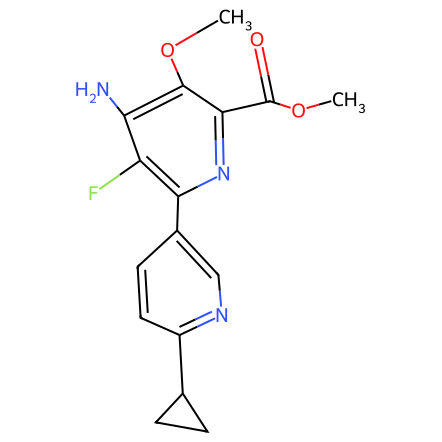 COC(=O)c1nc(-c2ccc(C3CC3)nc2)c(F)c(N)c1OC